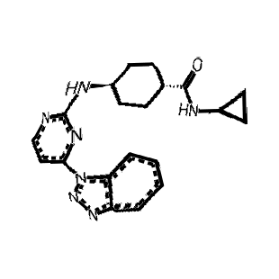 O=C(NC1CC1)[C@H]1CC[C@H](Nc2nccc(-n3nnc4ccccc43)n2)CC1